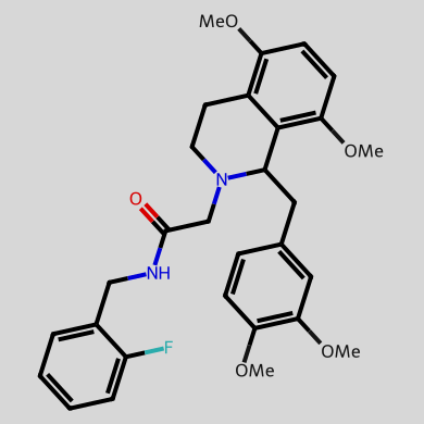 COc1ccc(CC2c3c(OC)ccc(OC)c3CCN2CC(=O)NCc2ccccc2F)cc1OC